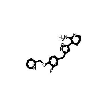 Nc1ncccc1-c1cc(Cc2ccc(OCc3ccccn3)c(F)c2)no1